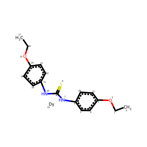 CCOc1ccc(NC(=S)Nc2ccc(OCC)cc2)cc1.[Dy]